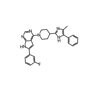 Cc1nc(C2CCN(c3ncnc4[nH]c(-c5cccc(F)c5)cc34)CC2)[nH]c1-c1ccccc1